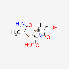 CC(SC1=C(C(=O)O)N2C(=O)C(CO)[C@H]2S1)C(N)=O